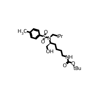 Cc1ccc(S(=O)(=O)N(CC(C)C)[C@H](CO)CCCCNC(=O)OC(C)(C)C)cc1